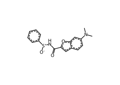 CN(C)c1ccc2cc(C(=O)N[S+]([O-])c3ccccc3)oc2c1